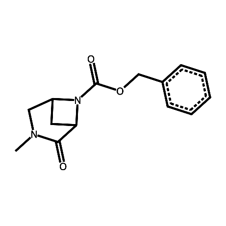 CN1CC2CC(C1=O)N2C(=O)OCc1ccccc1